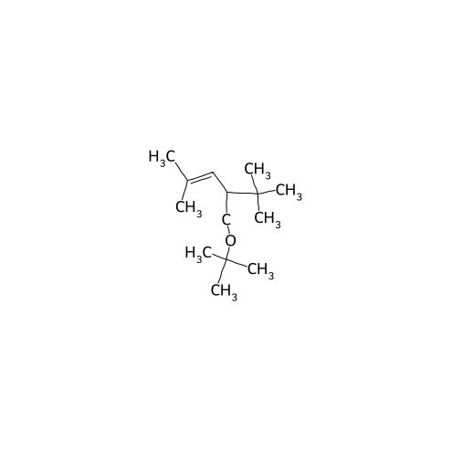 CC(C)=CC(COC(C)(C)C)C(C)(C)C